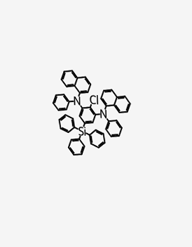 Clc1c(N(c2ccccc2)c2cccc3ccccc23)cc([Si](c2ccccc2)(c2ccccc2)c2ccccc2)cc1N(c1ccccc1)c1cccc2ccccc12